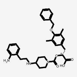 Cc1cc(C[C@@H](OC(=O)N2CCC(NCCc3ccccc3N)CC2)C(=O)O)cc(C)c1OCc1ccccc1